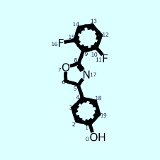 Oc1ccc(C2COC(c3c(F)cccc3F)=N2)cc1